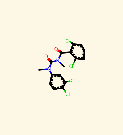 CN(C(=O)c1c(Cl)cccc1Cl)C(=O)N(C)c1ccc(Cl)c(Cl)c1